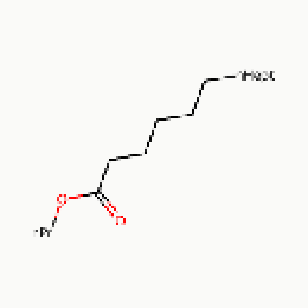 [CH2]CCOC(=O)CCCCCCCCCCCC